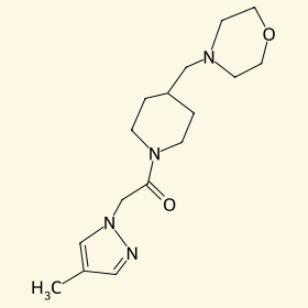 Cc1cnn(CC(=O)N2CCC(CN3CCOCC3)CC2)c1